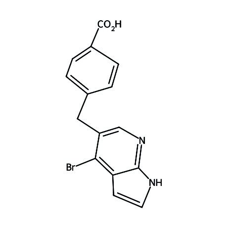 O=C(O)c1ccc(Cc2cnc3[nH]ccc3c2Br)cc1